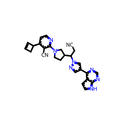 N#CCC(C1CCN(c2nccc(C3C=CC3)c2C#N)C1)n1cc(-c2ncnc3[nH]ccc23)cn1